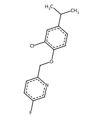 CC(C)c1ccc(OCc2ccc(F)cn2)c(Cl)c1